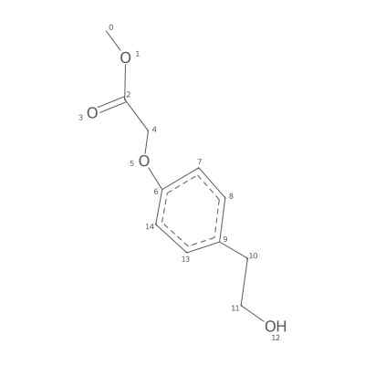 COC(=O)COc1ccc(CCO)cc1